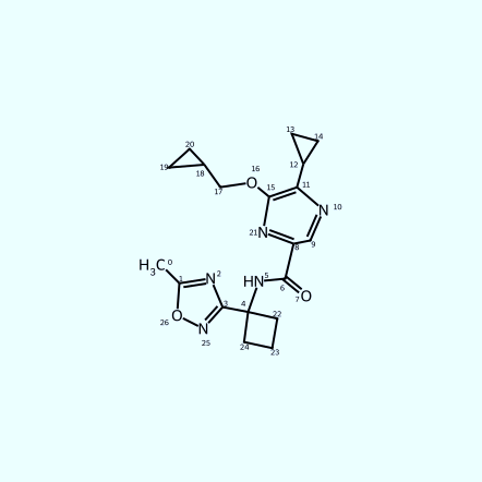 Cc1nc(C2(NC(=O)c3cnc(C4CC4)c(OCC4CC4)n3)CCC2)no1